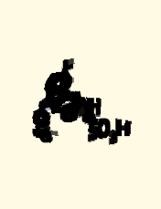 CC1=C(CC(=O)NCCS(=O)(=O)O)c2cc(F)ccc2/C1=C/c1ccc([S+](C)[O-])cc1